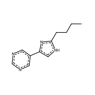 [CH2]CCCc1nc(-c2cncnc2)c[nH]1